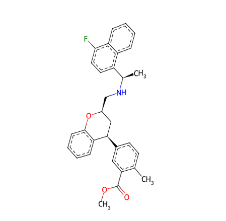 COC(=O)c1cc([C@@H]2C[C@H](CN[C@H](C)c3ccc(F)c4ccccc34)Oc3ccccc32)ccc1C